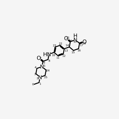 CCN1CCN(C(=O)CNc2ccc(C3CCC(=O)NC3=O)cc2)CC1